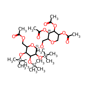 CC(=O)OCC1O[C@H](OCC2OCC(OC(C)=O)C(OC(C)=O)[C@@H]2OC(C)=O)C(O[Si](C)(C)C)C(O[Si](C)(C)C)C1O[Si](C)(C)C